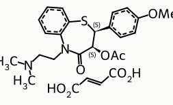 COc1ccc([C@@H]2Sc3ccccc3N(CCN(C)C)C(=O)[C@@H]2OC(C)=O)cc1.O=C(O)C=CC(=O)O